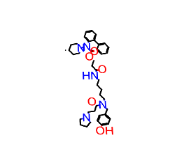 O=C(CCOC(=O)N(c1ccccc1-c1ccccc1)N1CC[CH]CC1)NCCCCCN(Cc1ccc(O)cc1)C(=O)CCN1CCCC1